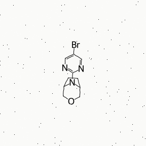 Brc1cnc(N2C3CCC2COC3)nc1